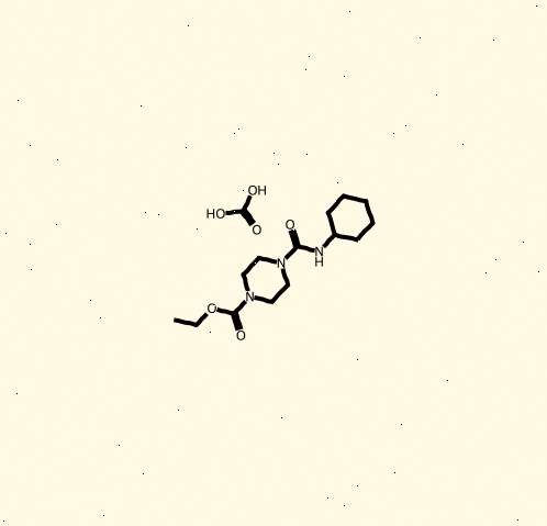 CCOC(=O)N1CCN(C(=O)NC2CCCCC2)CC1.O=C(O)O